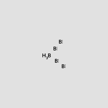 B.[B].[B].[B].[B]